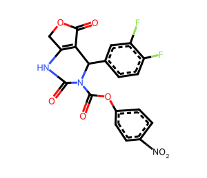 O=C1OCC2=C1C(c1ccc(F)c(F)c1)N(C(=O)Oc1ccc([N+](=O)[O-])cc1)C(=O)N2